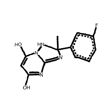 CC1(c2cccc(F)c2)N=C2N=C(O)C=C(O)N2N1